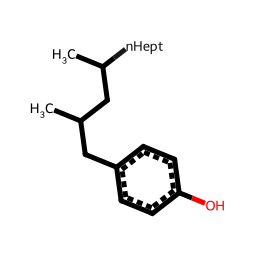 CCCCCCCC(C)CC(C)Cc1ccc(O)cc1